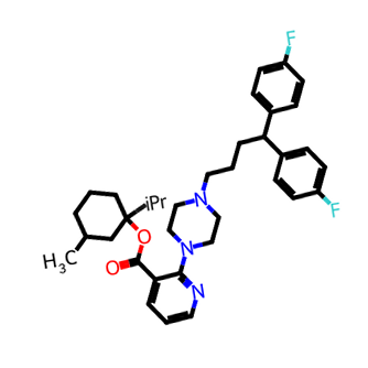 CC1CCCC(OC(=O)c2cccnc2N2CCN(CCCC(c3ccc(F)cc3)c3ccc(F)cc3)CC2)(C(C)C)C1